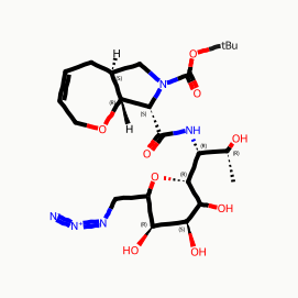 C[C@@H](O)[C@@H](NC(=O)[C@@H]1[C@@H]2OCC=CC[C@H]2CN1C(=O)OC(C)(C)C)[C@H]1OC(CN=[N+]=[N-])[C@H](O)[C@H](O)C1O